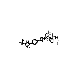 CC(C)(C)OC(=O)N1CC(c2ccc(-c3noc(C(F)(F)F)n3)cc2)C1